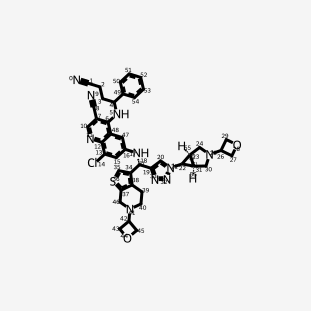 N#CCCC(Nc1c(C#N)cnc2c(Cl)cc(N[C@H](c3cn(C4[C@H]5CN(C6COC6)C[C@@H]45)nn3)c3csc4c3CCN(C3COC3)C4)cc12)c1ccccc1